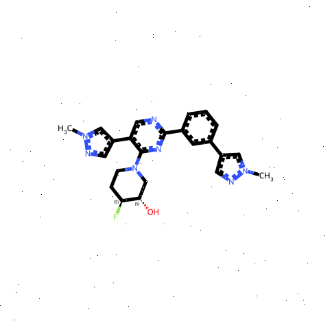 Cn1cc(-c2cccc(-c3ncc(-c4cnn(C)c4)c(N4CC[C@H](F)[C@@H](O)C4)n3)c2)cn1